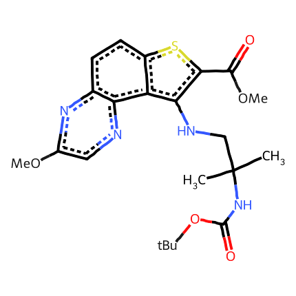 COC(=O)c1sc2ccc3nc(OC)cnc3c2c1NCC(C)(C)NC(=O)OC(C)(C)C